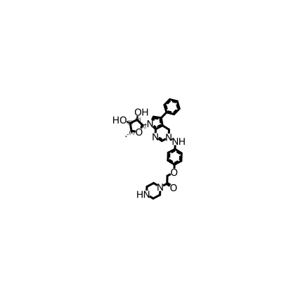 C[C@H]1O[C@@H](n2cc(-c3ccccc3)c3c2N=CN(Nc2ccc(OCC(=O)N4CCNCC4)cc2)C3)[C@H](O)[C@@H]1O